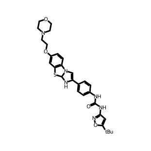 CC(C)(C)c1cc(NC(=O)Nc2ccc(C3=CN4c5ccc(OCCN6CCOCC6)cc5SC4N3)cc2)no1